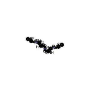 CCc1cc(/C(C)=N/OCc2ccc(C3CCCCC3)c(C(F)(F)F)c2)ccc1CC1(C(=O)OC(=O)/C=C/C(=O)OC(=O)C2(Cc3ccc(/C(C)=N/OCc4ccc(C5CCCCC5)c(C(F)(F)F)c4)cc3CC)CNC2)CNC1